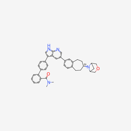 CN(C)C(=O)c1ccccc1-c1ccc(-c2c[nH]c3ncc(-c4ccc5c(c4)CC[C@@H](N4C6COCC4C6)CC5)cc23)cc1